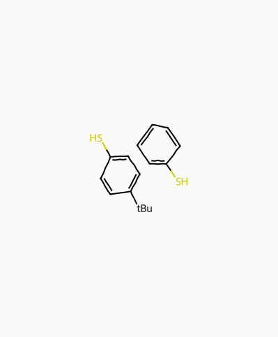 CC(C)(C)c1ccc(S)cc1.Sc1ccccc1